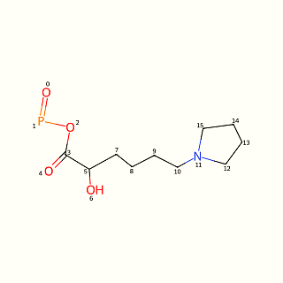 O=POC(=O)C(O)CCCCN1CCCC1